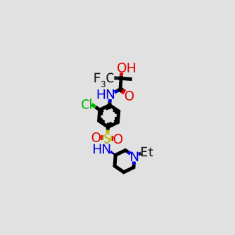 CCN1CCC[C@@H](NS(=O)(=O)c2ccc(NC(=O)C(C)(O)C(F)(F)F)c(Cl)c2)C1